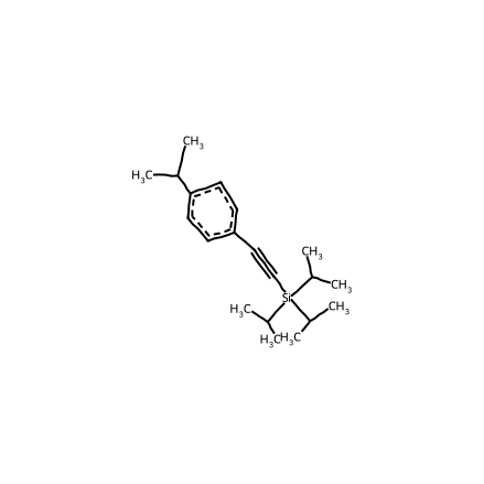 CC(C)c1ccc(C#C[Si](C(C)C)(C(C)C)C(C)C)cc1